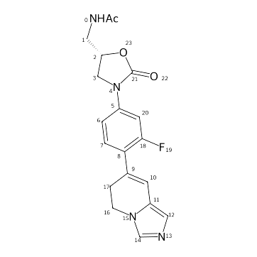 CC(=O)NC[C@H]1CN(c2ccc(C3=Cc4cncn4CC3)c(F)c2)C(=O)O1